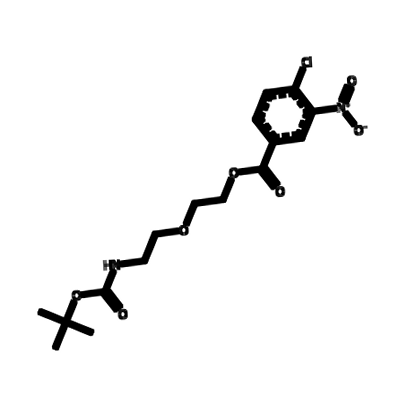 CC(C)(C)OC(=O)NCCOCCOC(=O)c1ccc(Cl)c([N+](=O)[O-])c1